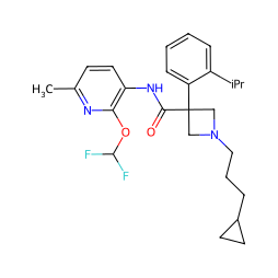 Cc1ccc(NC(=O)C2(c3ccccc3C(C)C)CN(CCCC3CC3)C2)c(OC(F)F)n1